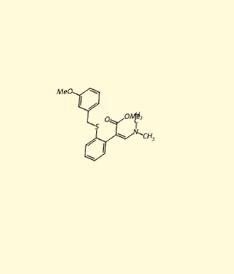 COC(=O)C(=CN(C)C)c1ccccc1SCc1cccc(OC)c1